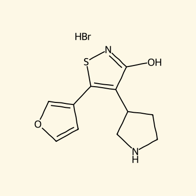 Br.Oc1nsc(-c2ccoc2)c1C1CCNC1